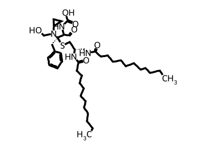 CCCCCCCCCCCC(=O)NC[C@@H](CS[C@](Cc1ccccc1)(C(C=O)NC(=O)O)N(CO)C1CC1)NC(=O)CCCCCCCCCCC